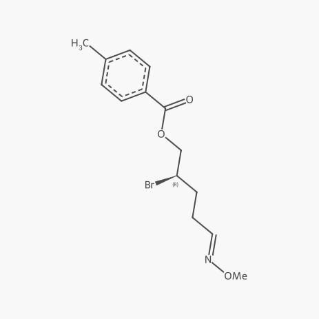 CON=CCC[C@@H](Br)COC(=O)c1ccc(C)cc1